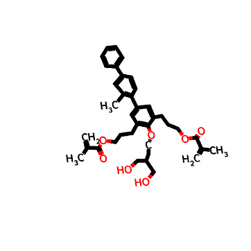 C=C(C)C(=O)OCCCc1cc(-c2ccc(-c3ccccc3)cc2C)cc(CCCOC(=O)C(=C)C)c1OCCC(CO)CO